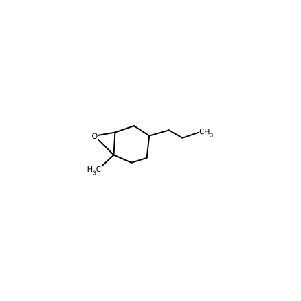 CCCC1CCC2(C)OC2C1